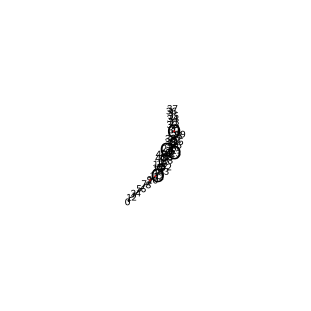 CCCCCCCCCCCCOc1ccc(-c2ccc(OC(=O)c3ccc(C(C)OCCCCCCC)cc3)cc2)cc1